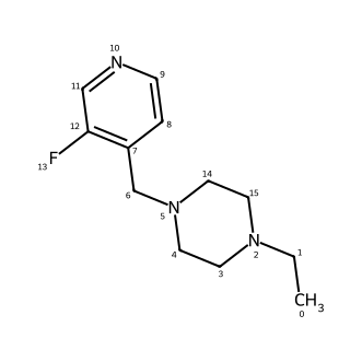 CCN1CCN(Cc2ccncc2F)CC1